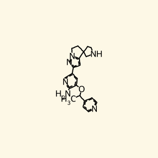 CC(Oc1cc(-c2cc3n(n2)CCC32CCNC2)cnc1N)c1ccncc1